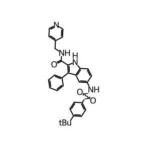 CC(C)(C)c1ccc(S(=O)(=O)Nc2ccc3[nH]c(C(=O)NCc4ccncc4)c(-c4ccccc4)c3c2)cc1